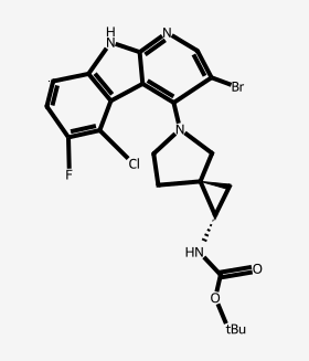 CC(C)(C)OC(=O)N[C@H]1C[C@]12CCN(c1c(Br)cnc3[nH]c4[c]cc(F)c(Cl)c4c13)C2